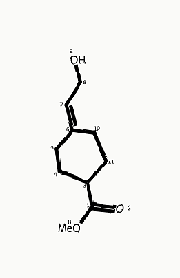 COC(=O)C1CCC(=CCO)CC1